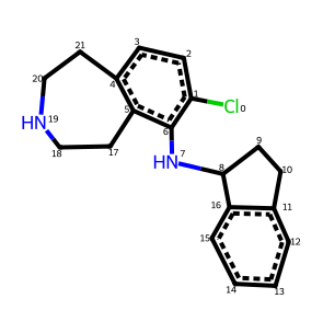 Clc1ccc2c(c1NC1CCc3ccccc31)CCNCC2